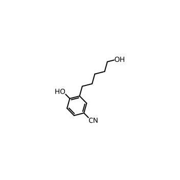 N#Cc1ccc(O)c(CCCCCO)c1